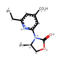 CC(C)Cc1cc(C(=O)O)cc(N2C(=O)OC[C@H]2C(C)C)n1